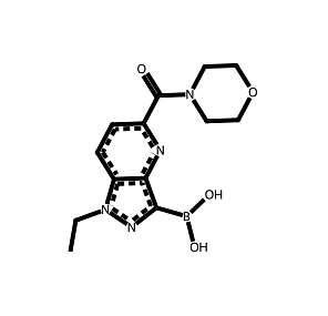 CCn1nc(B(O)O)c2nc(C(=O)N3CCOCC3)ccc21